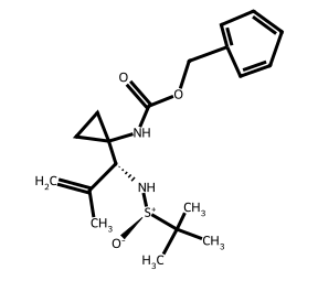 C=C(C)[C@@H](N[S@+]([O-])C(C)(C)C)C1(NC(=O)OCc2ccccc2)CC1